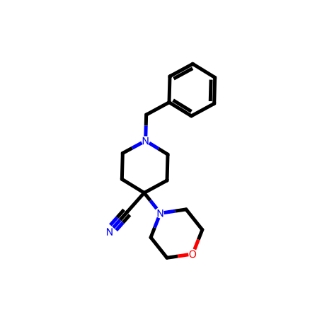 N#CC1(N2CCOCC2)CCN(Cc2ccccc2)CC1